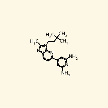 Cc1nc2ccc(-c3cc(N)nc(N)c3)nc2n1CCC(C)(C)C